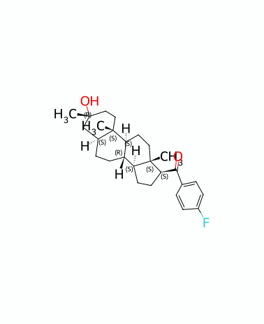 C[C@@]1(O)CC[C@@]2(C)[C@@H](CC[C@@H]3[C@@H]2CC[C@]2(C)[C@@H](C(=O)c4ccc(F)cc4)CC[C@@H]32)C1